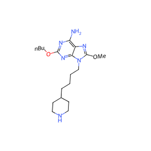 CCCCOc1nc(N)c2nc(OC)n(CCCCC3CCNCC3)c2n1